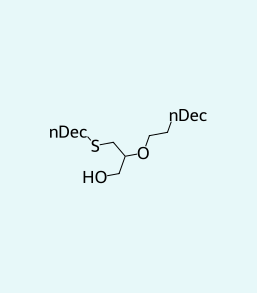 CCCCCCCCCCCCOC(CO)CSCCCCCCCCCC